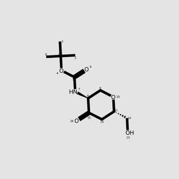 CC(C)(C)OC(=O)N[C@H]1CO[C@H](CO)CC1=O